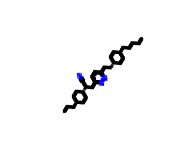 CCCCC[C@H]1CC[C@H](CCc2ccc(CC(C#N)[C@H]3CC[C@H](CCC)CC3)nn2)CC1